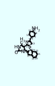 CC1=C(c2nc(-c3ccc(N)cc3)cs2)C(c2cc3ccccc3s2)NC(=O)N1